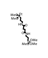 CC[Si](CCCNC(=O)CCC(=O)NCCC[Si](OC)(OC)OC)(OC)OC